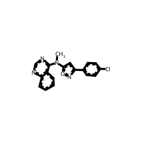 CN(c1cc(-c2ccc(Cl)cc2)no1)c1ncnc2ccccc12